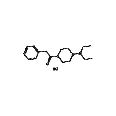 C[CH2][Al]([CH2]C)[N]1CCN(C(=O)Cc2ccccc2)CC1.Cl